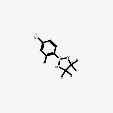 Cc1cc(Br)ccc1B1OC(C)(C)C(C)(C)O1